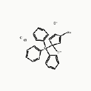 CCC(C)C1=C[C]([Ti+3])([Si](c2ccccc2)(c2ccccc2)c2ccccc2)C=C1.[Cl-].[Cl-].[Cl-]